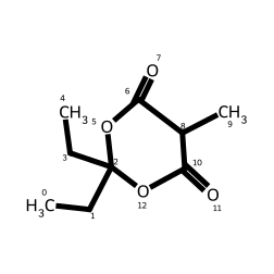 CCC1(CC)OC(=O)C(C)C(=O)O1